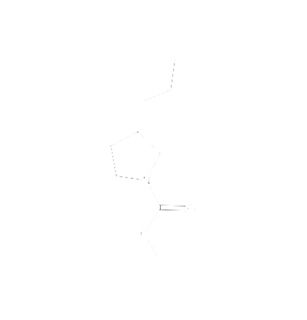 CCC[C@H]1CCN(C(=O)OC)C1